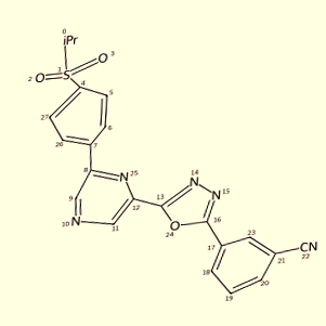 CC(C)S(=O)(=O)c1ccc(-c2cncc(-c3nnc(-c4cccc(C#N)c4)o3)n2)cc1